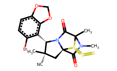 CN1C(=O)[C@]23C[C@](C)(C#N)[C@H](c4c(Br)ccc5c4OCO5)N2C(=O)C1(C)S3=S=S